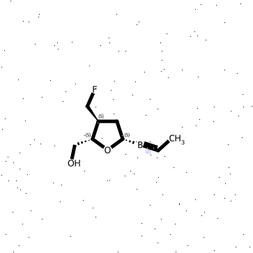 C/C=B\[C@H]1C[C@H](CF)[C@@H](CO)O1